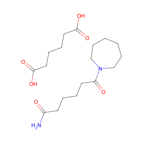 NC(=O)CCCCC(=O)N1CCCCCC1.O=C(O)CCCCC(=O)O